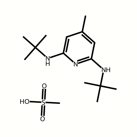 CS(=O)(=O)O.Cc1cc(NC(C)(C)C)nc(NC(C)(C)C)c1